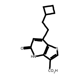 O=C(O)c1csc2c(CCC3CCC3)cc(=O)[nH]c12